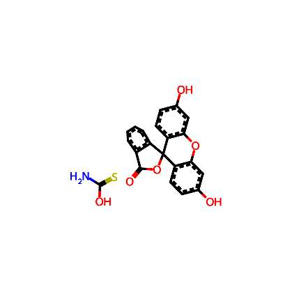 NC(O)=S.O=C1OC2(c3ccc(O)cc3Oc3cc(O)ccc32)c2ccccc21